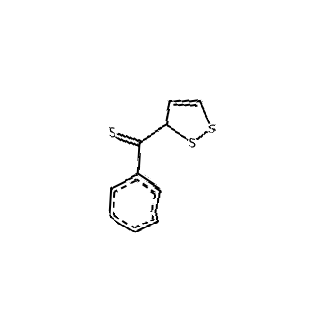 S=C(c1ccccc1)C1C=CSS1